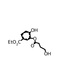 CCOC(=O)c1ccc(O)c(OC(=O)CCCO)c1